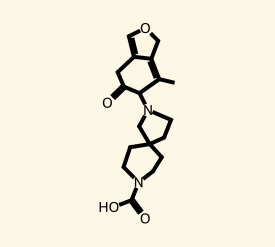 CC1=C2COC=C2CC(=O)C1N1CCC2(CCN(C(=O)O)CC2)C1